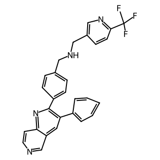 FC(F)(F)c1ccc(CNCc2ccc(-c3nc4ccncc4cc3-c3ccccc3)cc2)cn1